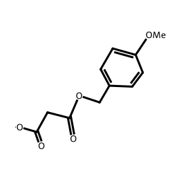 COc1ccc(COC(=O)CC([O])=O)cc1